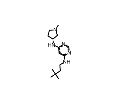 CN1CC[C@H](Nc2cc(NCCC(C)(C)C)ncn2)C1